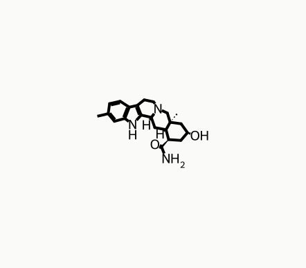 Cc1ccc2c3c([nH]c2c1)[C@H]1C[C@@H]2[C@H](C(N)=O)C[C@H](O)C[C@]2(C)CN1CC3